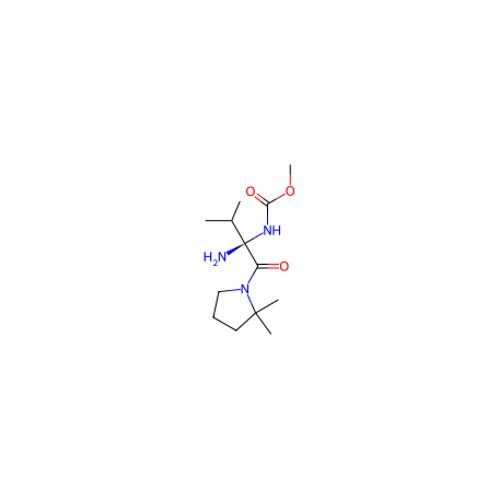 COC(=O)N[C@](N)(C(=O)N1CCCC1(C)C)C(C)C